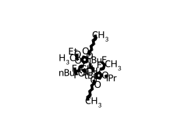 C/C=C/CCCC(=O)O[C@H]1C[C@@H](OC(C)C)[C@H](/C=C/[C@@H](C)C(F)(F)CCCC)[C@H]1C/C=C/C[C@@H]1[C@@H](/C=C/[C@@H](O[Si](C)(C)C(C)(C)C)C(F)(F)CCCC)[C@H](OC(C)OCC)C[C@@H]1OC(=O)CCC/C=C/C